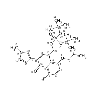 CCCOc1ccc(F)c2c(=O)c(-c3cnn(C)c3)cn(COP(=O)(OC(C)(C)C)OC(C)(C)C)c12